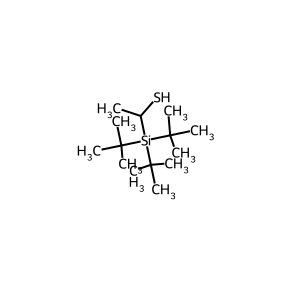 CC(S)[Si](C(C)(C)C)(C(C)(C)C)C(C)(C)C